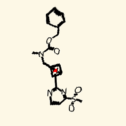 CN(CC12CC(C1)N(c1nccc(S(C)(=O)=O)n1)C2)C(=O)OCc1ccccc1